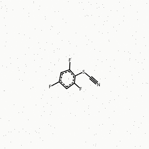 N#CSc1c(F)cc(F)cc1F